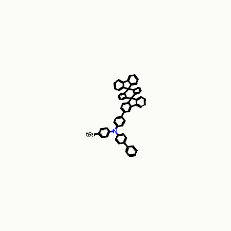 CC(C)(C)c1ccc(N(c2ccc(-c3ccccc3)cc2)c2ccc(-c3ccc4c(c3)-c3ccccc3C43c4ccccc4C4(c5ccccc5-c5ccccc54)c4ccccc43)cc2)cc1